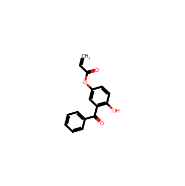 C=CC(=O)Oc1ccc(O)c(C(=O)c2ccccc2)c1